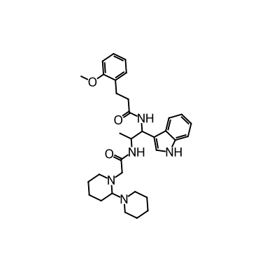 COc1ccccc1CCC(=O)NC(c1c[nH]c2ccccc12)C(C)NC(=O)CN1CCCCC1N1CCCCC1